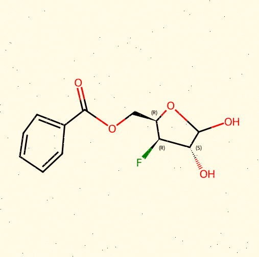 O=C(OC[C@H]1OC(O)[C@H](O)[C@H]1F)c1ccccc1